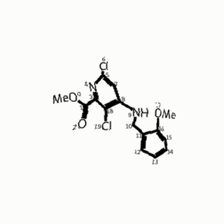 COC(=O)c1nc(Cl)cc(NCc2ccccc2OC)c1Cl